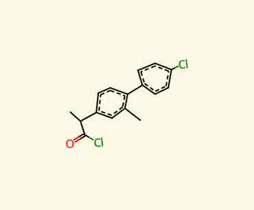 Cc1cc(C(C)C(=O)Cl)ccc1-c1ccc(Cl)cc1